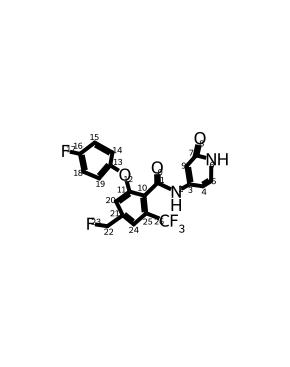 O=C(Nc1cc[nH]c(=O)c1)c1c(Oc2ccc(F)cc2)cc(CF)cc1C(F)(F)F